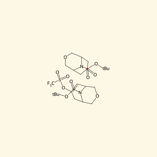 CC(C)(C)OC(=O)N1C2C=C(OS(=O)(=O)C(F)(F)F)CC1COC2.CC(C)(C)OC(=O)N1C2COCC1CC(=O)C2